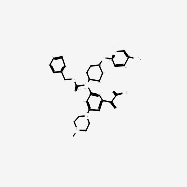 C=C(C(N)=O)c1cc(N2CCN(C)[C@@H](C)C2)cc(N(C(=O)NCc2ccccc2)C2CCC(Nc3ccc(C#N)cn3)CC2)c1